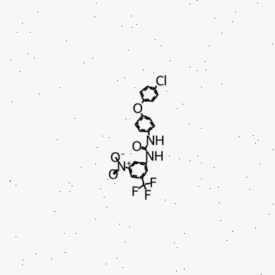 O=C(Nc1ccc(Oc2ccc(Cl)cc2)cc1)Nc1cc([N+](=O)[O-])cc(C(F)(F)F)c1